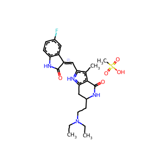 CCN(CC)CCC1Cc2[nH]c(/C=C3\C(=O)Nc4ccc(F)cc43)c(C)c2C(=O)N1.CS(=O)(=O)O